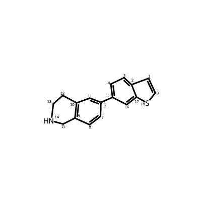 c1cc2ccc(-c3ccc4c(c3)CCNC4)cc2s1